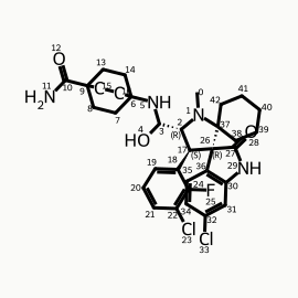 CN1[C@@H](C(O)NC23CCC(C(N)=O)(CC2)CC3)[C@H](c2cccc(Cl)c2F)[C@]2(C(=O)Nc3cc(Cl)ccc32)C12CCCCC2